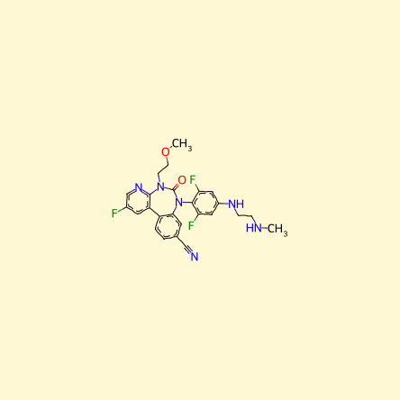 CNCCNc1cc(F)c(N2C(=O)N(CCOC)c3ncc(F)cc3-c3ccc(C#N)cc32)c(F)c1